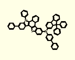 C1=CC2c3c(sc4ccc(N(C5=CC6C(C=C5)c5ccccc5C6(c5ccccc5)c5ccccc5)c5ccc(-c6ccccc6)cc5)cc34)-c3c4c(n(-c5ccccc5)c3C2C=C1)C=C(c1ccccc1)CC4